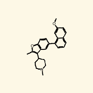 COc1ccc2cccc(-c3ccc4oc(C)c(C5CCN(C)CC5)c4c3)c2c1